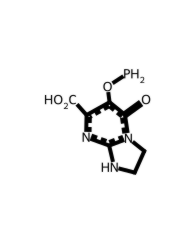 O=C(O)c1nc2n(c(=O)c1OP)CCN2